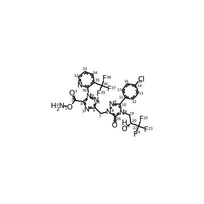 NOC(=O)c1nc(Cn2nc(-c3ccc(Cl)cc3)n(C[C@H](O)C(F)(F)F)c2=O)nn1-c1ncccc1C(F)(F)F